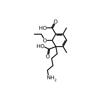 CCOC1C(C(=O)O)=C(C)C=C(C)C1(CCCCN)C(=O)O